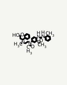 COc1cc(N(CCN(C)C(CC(=O)O)c2ccccc2)C(C)=O)ccc1NC(=O)Nc1ccccc1C